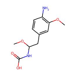 COc1cc(CC(NC(=O)O)OC)ccc1N